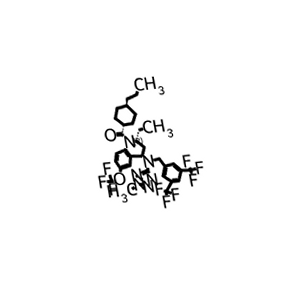 CCC[C@H]1CC[C@H](C(=O)N2c3ccc(OC(F)(F)F)cc3C(N(Cc3cc(C(F)(F)F)cc(C(F)(F)F)c3)c3nnn(C)n3)C[C@H]2CC)CC1